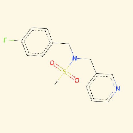 CS(=O)(=O)N(Cc1ccc(F)cc1)Cc1cccnc1